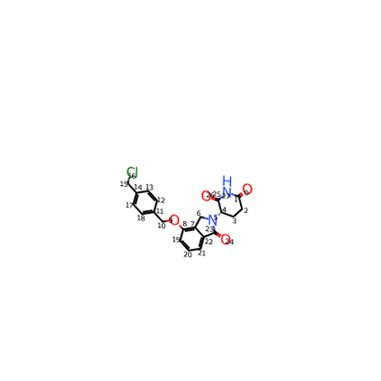 O=C1CC[C@H](N2Cc3c(OCc4ccc(CCl)cc4)cccc3C2=O)C(=O)N1